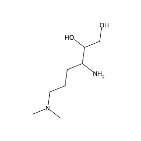 CN(C)CCCC(N)C(O)CO